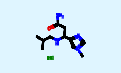 CC(C)CNC(CC(N)=O)c1cn(C)cn1.Cl